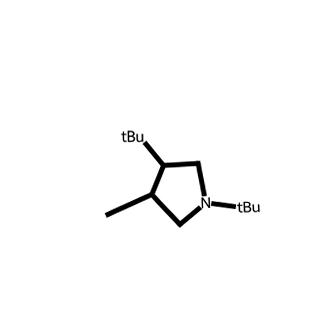 CC1CN(C(C)(C)C)CC1C(C)(C)C